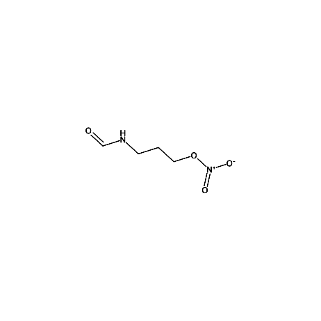 O=CNCCCO[N+](=O)[O-]